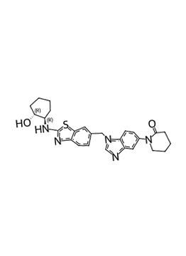 O=C1CCCCN1c1ccc2c(c1)ncn2Cc1ccc2nc(N[C@@H]3CCCC[C@H]3O)sc2c1